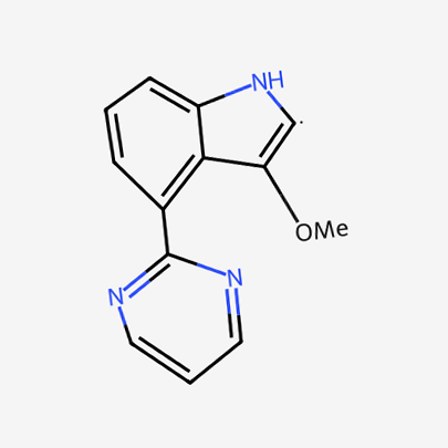 COc1[c][nH]c2cccc(-c3ncccn3)c12